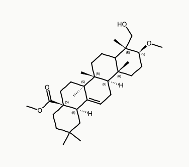 COC(=O)[C@]12CCC(C)(C)C[C@@H]1C1=CC[C@@H]3[C@@]4(C)CC[C@H](OC)[C@@](C)(CO)C4CC[C@@]3(C)[C@]1(C)CC2